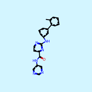 Cc1ccccc1-c1cccc(Nc2nccc(C(=O)Nc3cncnc3)n2)c1